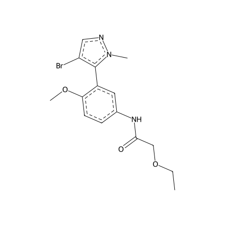 CCOCC(=O)Nc1ccc(OC)c(-c2c(Br)cnn2C)c1